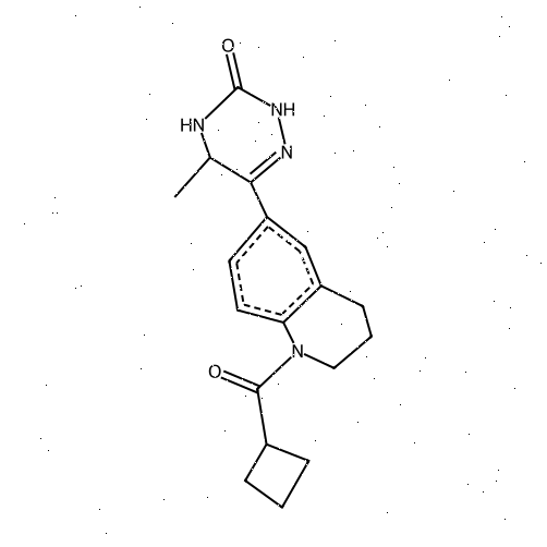 CC1NC(=O)NN=C1c1ccc2c(c1)CCCN2C(=O)C1CCC1